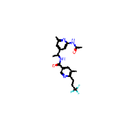 CC(=O)Nc1cc(C(C)NC(=O)c2cnc(CCC(F)(F)F)c(C)c2)cc(C)n1